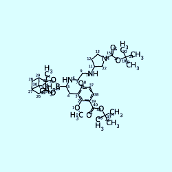 COc1c(CC(NC(=O)CNC2CCN(C(=O)OC(C)(C)C)C2)B2OC3CC4CC(C4(C)C)C3(C)O2)cccc1C(=O)OC(C)(C)C